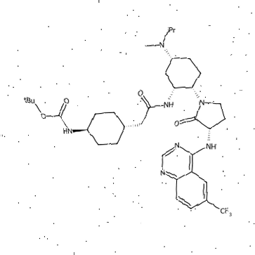 CC(C)N(C)[C@@H]1CC[C@H](N2CC[C@H](Nc3ncnc4ccc(C(F)(F)F)cc34)C2=O)[C@H](NC(=O)C[C@H]2CC[C@H](NC(=O)OC(C)(C)C)CC2)C1